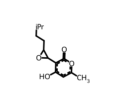 Cc1cc(O)c(C2OC2CCC(C)C)c(=O)o1